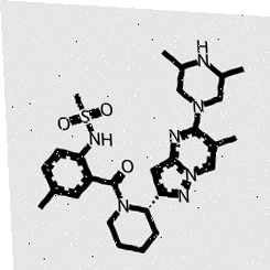 Cc1ccc(NS(C)(=O)=O)c(C(=O)N2CCCC[C@H]2c2cc3nc(N4CC(C)NC(C)C4)c(C)cn3n2)c1